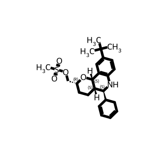 CC(C)(C)c1ccc2c(c1)[C@H]1O[C@@H](COS(C)(=O)=O)CC[C@H]1[C@H](C1C=CC=CC1)N2